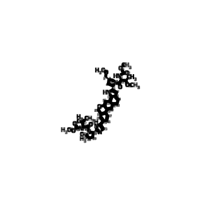 COC[C@H]1C[C@@H](c2cc3ccc4cc5c(cc4c3[nH]2)OCc2cc(-c3cnc([C@@H]4CC[C@H](C)N4C(=O)[C@@H](NC(=O)OC)C(C)C)[nH]3)ccc2-5)N(C(=O)[C@@H](NC(=O)OC)[C@@H](C)OC)C1